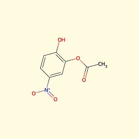 CC(=O)Oc1cc([N+](=O)[O-])ccc1O